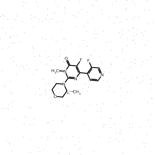 C[C@@H]1COCCN1c1nc(-c2ccncc2F)c(F)c(=O)n1C